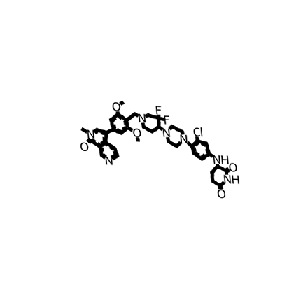 COc1cc(-c2cn(C)c(=O)c3cnccc23)cc(OC)c1CN1CCC(N2CCN(c3ccc(NC4CCC(=O)NC4=O)cc3Cl)CC2)C(F)(F)C1